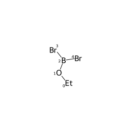 CCOB(Br)Br